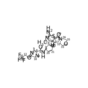 C[C@]1(c2cc(NC(=O)c3cnc(OCC(F)(F)F)cn3)ccc2F)N=C(N)S[C@@]2(C(=O)N3CCOCC3)C[C@H]21